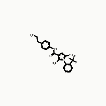 CCCc1ccc(NC(=O)c2cc(C)n(-c3ccccc3C(F)(F)F)c2C)cc1